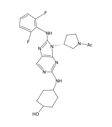 CC(=O)N1CC[C@@H](n2c(Nc3c(F)cccc3F)nc3cnc(NC4CCC(O)CC4)nc32)C1